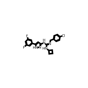 Fc1cc(F)cc(-c2cc(N/C(=N\Cc3ccc(Cl)cc3)NC3CCC3)n[nH]2)c1